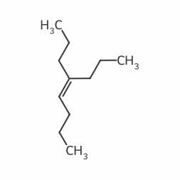 CCCC=C(CCC)CCC